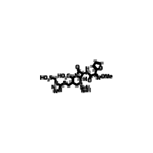 CO/N=C(/C(=O)N[C@@H]1C(=O)N2C(C(=O)O)=C(CSc3nnnn3CS(=O)(=O)O)CS[C@H]12)c1ccco1.[NaH].[NaH]